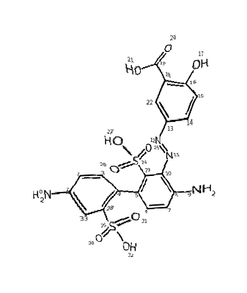 Nc1ccc(-c2ccc(N)c(N=Nc3ccc(O)c(C(=O)O)c3)c2S(=O)(=O)O)c(S(=O)(=O)O)c1